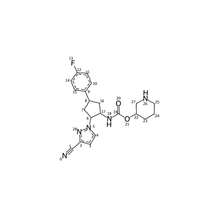 N#Cc1ccn(C2CC(c3ccc(F)cc3)CC2NC(=O)OC2CCCNC2)n1